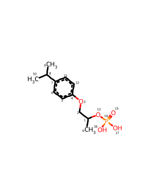 CC(COc1ccc(C(C)C)cc1)OP(=O)(O)O